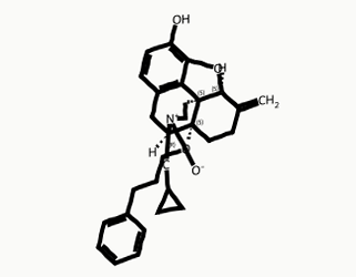 C=C1CC[C@@]2(OCCCc3ccccc3)[C@H]3Cc4ccc(O)c5c4[C@@]2(CC[N+]3([O-])CC2CC2)[C@H]1O5